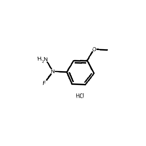 COc1cccc(N(N)F)c1.Cl